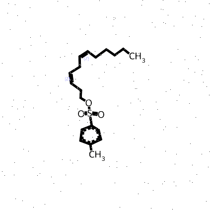 CCCCC/C=C\C/C=C\CCOS(=O)(=O)c1ccc(C)cc1